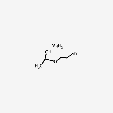 CC(C)CCOC(C)O.[MgH2]